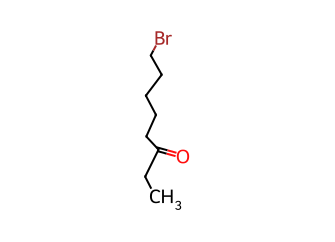 CCC(=O)CCCCCBr